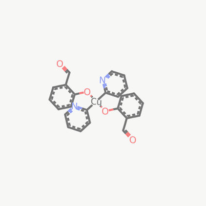 O=Cc1ccccc1[O][Cu]([O]c1ccccc1C=O)([c]1ccccn1)[c]1ccccn1